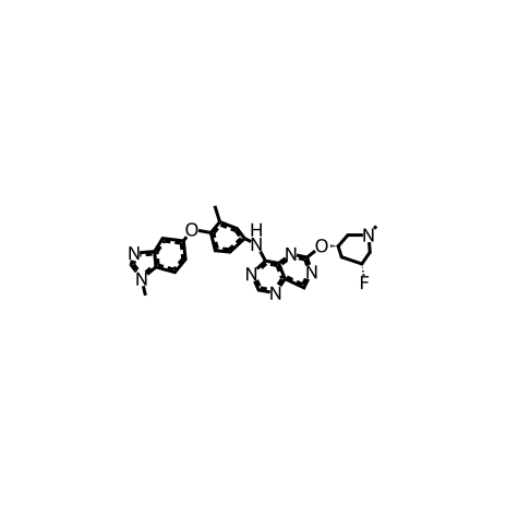 Cc1cc(Nc2ncnc3cnc(O[C@H]4C[C@@H](F)CN(C)C4)nc23)ccc1Oc1ccc2c(c1)ncn2C